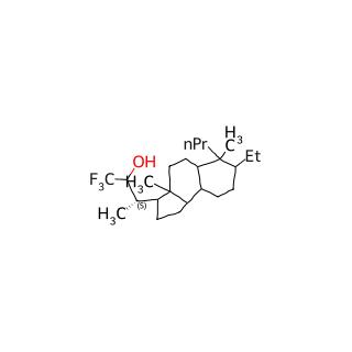 CCCC1(C)C(CC)CCC2C1CCC1(C)C2CCC1[C@H](C)C(O)C(F)(F)F